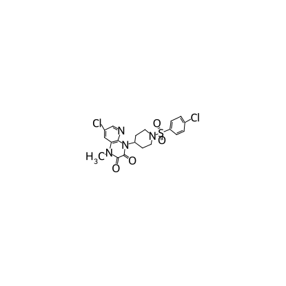 Cn1c(=O)c(=O)n(C2CCN(S(=O)(=O)c3ccc(Cl)cc3)CC2)c2ncc(Cl)cc21